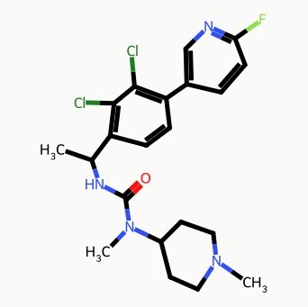 CC(NC(=O)N(C)C1CCN(C)CC1)c1ccc(-c2ccc(F)nc2)c(Cl)c1Cl